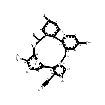 Cc1ccc2c(c1)C(C)Oc1cc(cnc1N)-c1c(C#N)ncn1Cc1cc(F)cnc1-2